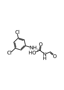 Nc1cc(Cl)cc(Cl)c1.O=CNC(=O)O